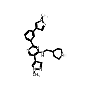 Cn1cc(-c2cccc(-c3ncc(-c4cnn(C)c4)c(NCC4CCNCC4)n3)c2)cn1